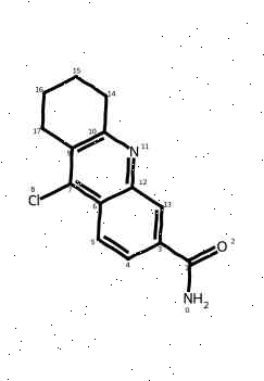 NC(=O)c1ccc2c(Cl)c3c(nc2c1)CCCC3